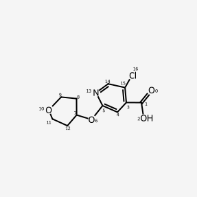 O=C(O)c1cc(OC2CCOCC2)ncc1Cl